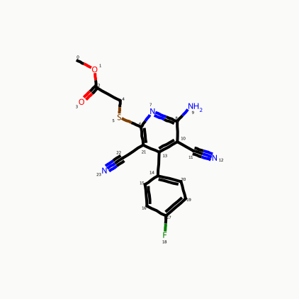 COC(=O)CSc1nc(N)c(C#N)c(-c2ccc(F)cc2)c1C#N